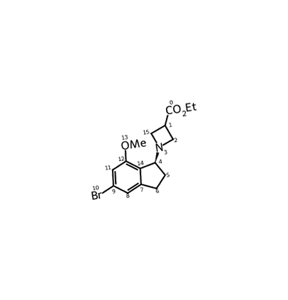 CCOC(=O)C1CN([C@H]2CCc3cc(Br)cc(OC)c32)C1